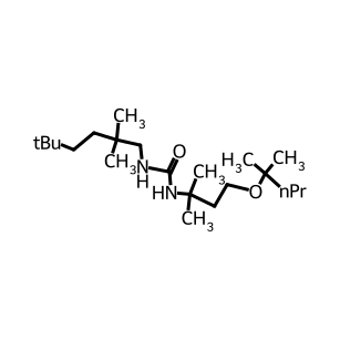 CCCC(C)(C)OCCC(C)(C)NC(=O)NCC(C)(C)CCC(C)(C)C